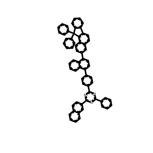 c1ccc(-c2nc(-c3ccc(-c4ccc(-c5ccc6c7c(ccc6c5)-c5ccccc5C7(c5ccccc5)c5ccccc5)c5ccccc45)cc3)nc(-c3ccc4ccccc4c3)n2)cc1